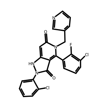 O=c1c2c(-c3cccc(Cl)c3F)n(Cc3cccnc3)c(=O)cc2[nH]n1-c1ccccc1Cl